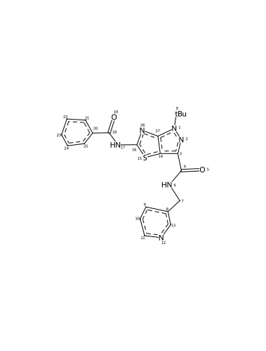 CC(C)(C)n1nc(C(=O)NCc2cccnc2)c2sc(NC(=O)c3ccccc3)nc21